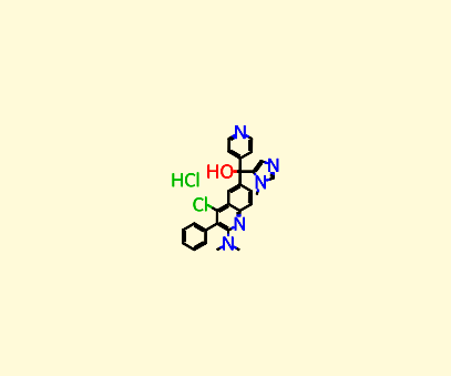 CN(C)c1nc2ccc(C(O)(c3ccncc3)c3cncn3C)cc2c(Cl)c1-c1ccccc1.Cl